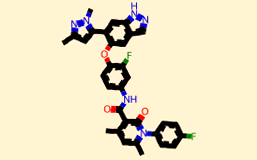 Cc1cc(-c2cc3[nH]ncc3cc2Oc2ccc(NC(=O)c3c(C)cc(C)n(-c4ccc(F)cc4)c3=O)cc2F)n(C)n1